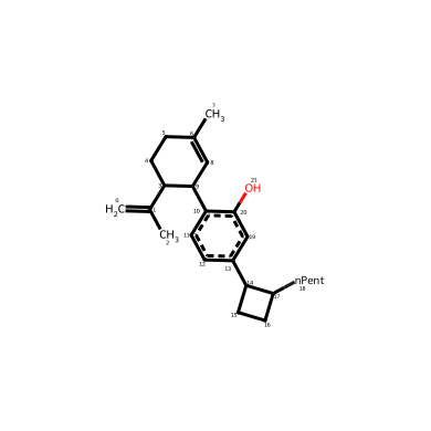 C=C(C)C1CCC(C)=CC1c1ccc(C2CCC2CCCCC)cc1O